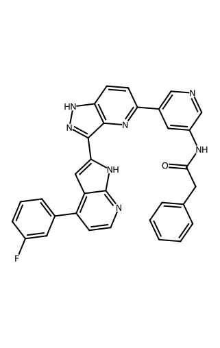 O=C(Cc1ccccc1)Nc1cncc(-c2ccc3[nH]nc(-c4cc5c(-c6cccc(F)c6)ccnc5[nH]4)c3n2)c1